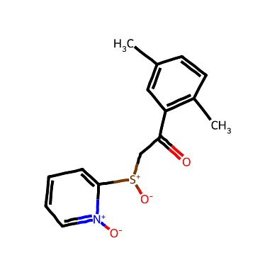 Cc1ccc(C)c(C(=O)C[S+]([O-])c2cccc[n+]2[O-])c1